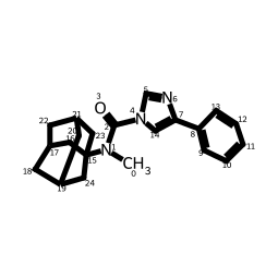 CN(C(=O)n1cnc(-c2ccccc2)c1)C12CC3CC(CC(C3)C1)C2